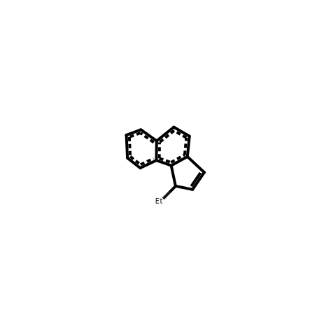 CC[C]1C=Cc2ccc3ccccc3c21